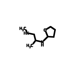 CNCC(C)NC1CCCO1